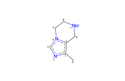 Cc1ncn2c1CNCC2